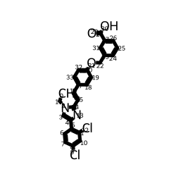 CCn1cc(-c2ccc(Cl)cc2Cl)nc1/C=C/c1ccc(OCc2cccc(C(=O)O)c2)cc1